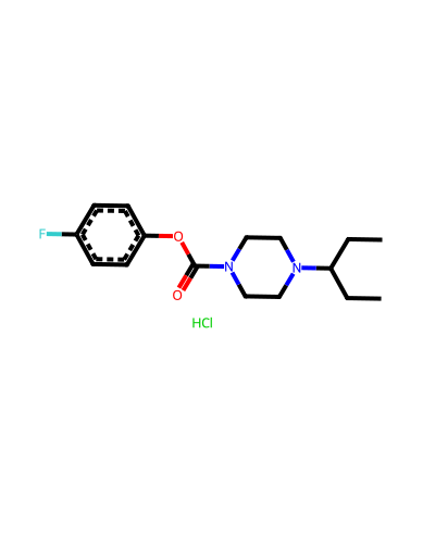 CCC(CC)N1CCN(C(=O)Oc2ccc(F)cc2)CC1.Cl